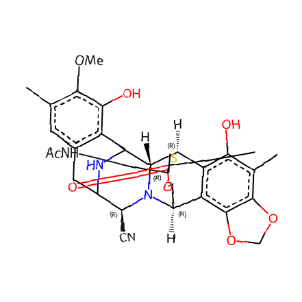 COc1c(C)cc2c(c1O)C1NC(C2)[C@H](C#N)N2[C@H]1[C@@H]1SCC(NC(C)=O)C(=O)OC[C@H]2c2c3c(c(C)c(O)c21)OCO3